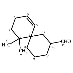 CC1(C)CCC=CC12CCCC(C=O)C2